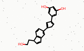 OCCC1C=Cc2cc(C3=CC(c4cc(O)cc(O)c4)=CC3)ccc21